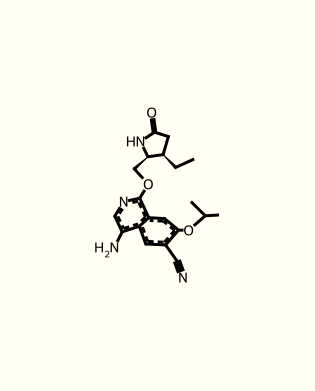 CC[C@@H]1CC(=O)N[C@@H]1COc1ncc(N)c2cc(C#N)c(OC(C)C)cc12